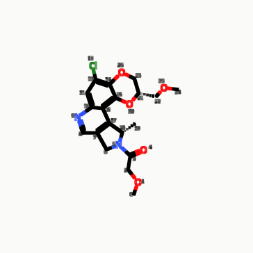 COCC(=O)N1Cc2cnc3cc(Cl)c4c(c3c2[C@@H]1C)O[C@@H](COC)CO4